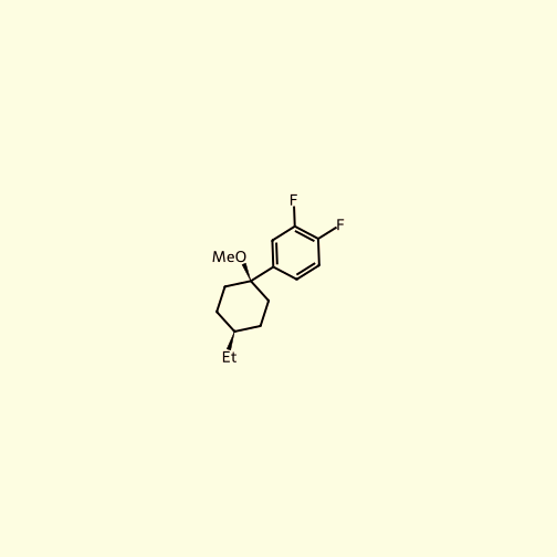 CC[C@H]1CC[C@](OC)(c2ccc(F)c(F)c2)CC1